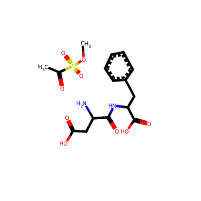 COS(=O)(=O)C(C)=O.NC(CC(=O)O)C(=O)NC(Cc1ccccc1)C(=O)O